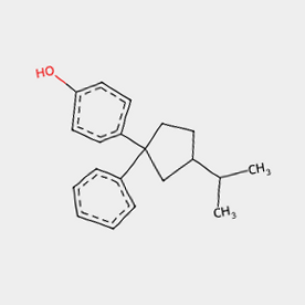 CC(C)C1CCC(c2ccccc2)(c2ccc(O)cc2)C1